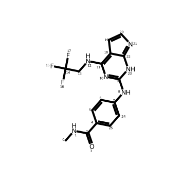 CNC(=O)c1ccc(Nc2nc(NCC(F)(F)F)c3ccnc-3[nH]2)cc1